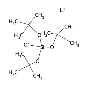 CC(C)(C)O[Si]([O-])(OC(C)(C)C)OC(C)(C)C.[Li+]